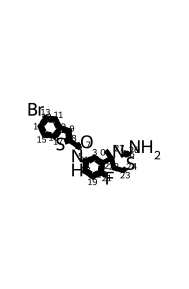 CC1(c2cc(NC(=O)c3cc4cc(Br)ccc4s3)ccc2F)CCSC(N)=N1